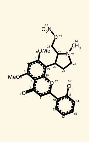 COc1cc(OC)c2c(=O)cc(-c3ccccc3Cl)oc2c1C1CCN(C)C1CO[N+](=O)[O-]